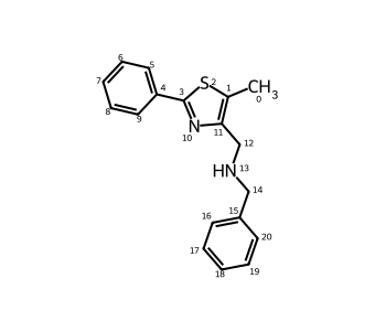 Cc1sc(-c2ccccc2)nc1CNCc1ccccc1